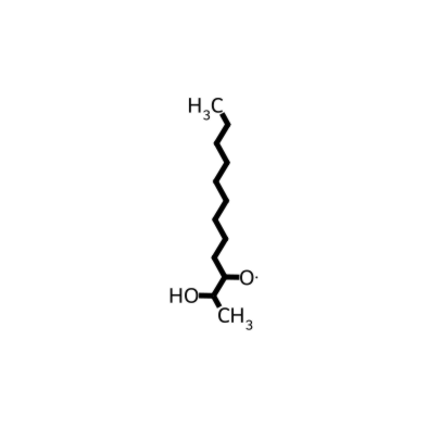 CCCCCCCCCC([O])C(C)O